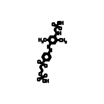 Cc1cc(NCS(=O)(=O)O)c(C)cc1/N=N/c1ccc(S(=O)(=O)CCOS(=O)(=O)O)cc1